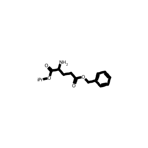 CC(C)OC(=O)C(N)CCC(=O)OCc1ccccc1